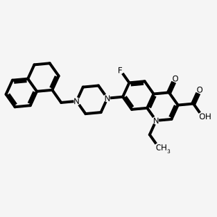 CCn1cc(C(=O)O)c(=O)c2cc(F)c(N3CCN(CC4=CCCc5ccccc54)CC3)cc21